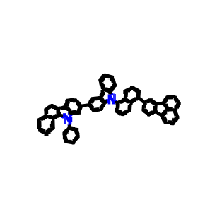 c1ccc(-n2c3cc(-c4ccc5c(c4)c4ccccc4n5-c4cccc5c(-c6ccc7c(c6)-c6cccc8cccc-7c68)cccc45)ccc3c3ccc4ccccc4c32)cc1